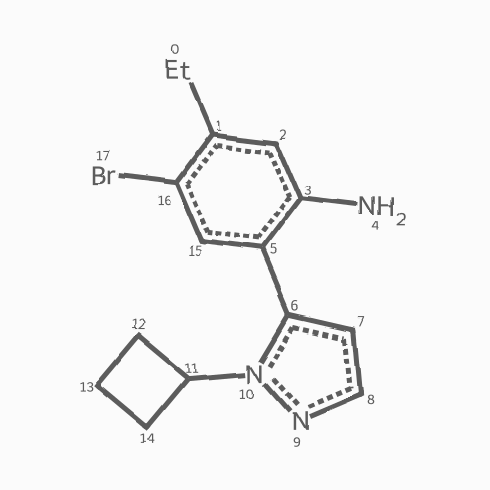 CCc1cc(N)c(-c2ccnn2C2CCC2)cc1Br